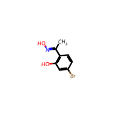 CC(=NO)c1ccc(Br)cc1O